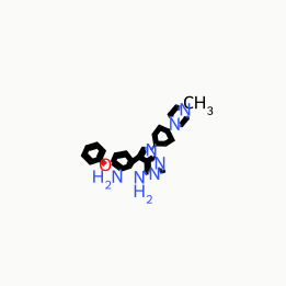 CN1CCN([C@H]2CC[C@H](n3cc(-c4ccc(Oc5ccccc5)c(N)c4)c4c(N)ncnc43)CC2)CC1